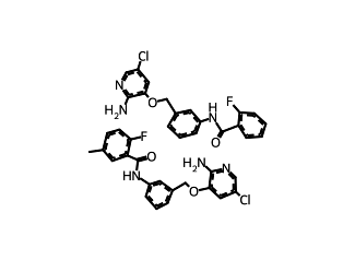 Cc1ccc(F)c(C(=O)Nc2cccc(COc3cc(Cl)cnc3N)c2)c1.Nc1ncc(Cl)cc1OCc1cccc(NC(=O)c2ccccc2F)c1